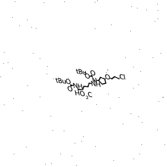 CC(C)(C)OC(=O)N[C@@H](CCCCNN(C(=O)OC(C)(C)C)C1CCC(OCCCCl)C1)C(=O)O